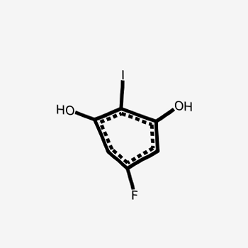 Oc1cc(F)cc(O)c1I